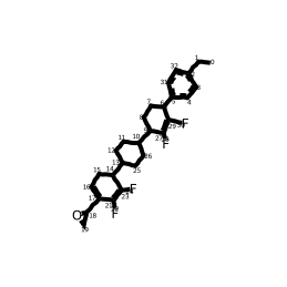 CCc1ccc(C2CCC(C3CCC(C4CC=C(C5CO5)C(F)=C4F)CC3)C(F)=C2F)cc1